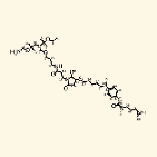 CCOC(C)(C)C(COCCCNC(=O)CCN1C(=O)CC(SCCCCCC(C)c2ccc(OC(=O)N(C)CCCN(C)C)cc2)C1=O)CC(C)(C)OCN